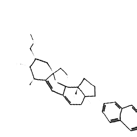 CNC[C@H]1C[C@@]23CC[C@@]4(O2)C(=CC[C@]2(C)[C@@H](c5ccc6cnccc6c5)CC[C@H]24)C=C3[C@@H](O)[C@@H]1O